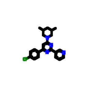 CC1CC(C)CN(c2cc(-c3ccc(Cl)cc3)nc(-c3cccnc3)n2)C1